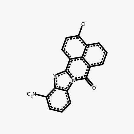 O=c1c2cccc3c(Cl)ccc(c32)c2nc3c([N+](=O)[O-])cccc3n12